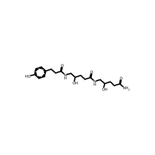 NC(=O)CCC(O)CNC(=O)CCC(O)CNC(=O)CCc1ccc(O)cc1